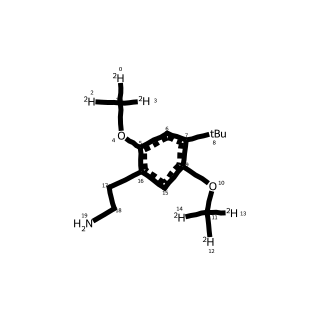 [2H]C([2H])([2H])Oc1cc(C(C)(C)C)c(OC([2H])([2H])[2H])cc1CCN